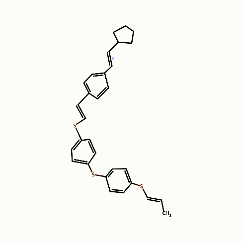 CC=CSc1ccc(Sc2ccc(SC=Cc3ccc(/C=C/C4CCCC4)cc3)cc2)cc1